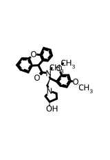 COc1ccc([C@@H](CN2CC[C@H](O)C2)N(C)C(=O)C2c3ccccc3Oc3ccccc32)c(OC)c1